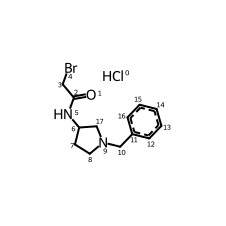 Cl.O=C(CBr)NC1CCN(Cc2ccccc2)C1